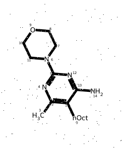 CCCCCCCCc1c(C)nc(N2CCOCC2)nc1N